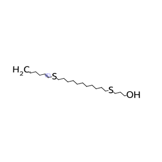 C=CCC/C=C/SCCCCCCCCCCCSCCCO